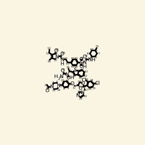 CC(=O)N1CCN(c2ccc(OC[C@H]3CO[C@](Cn4ccnc4)(c4ccc(Cl)cc4Cl)O3)cc2)CC1.CC(c1cc2ccccc2s1)N(O)C(N)=O.CCC1=C(C)CN(C(=O)NCCc2ccc(S(=O)(=O)NC(=O)NC3CCC(C)CC3)cc2)C1=O